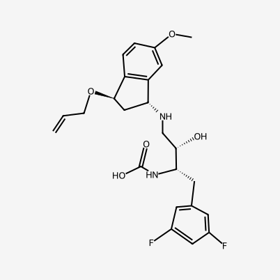 C=CCO[C@@H]1C[C@@H](NC[C@H](O)[C@H](Cc2cc(F)cc(F)c2)NC(=O)O)c2cc(OC)ccc21